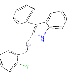 Clc1ccccc1/C=C/c1[nH]c2ccccc2c1-c1ccccc1